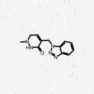 CN1CC=C(Cn2nnc3ccccc32)C(=O)N1